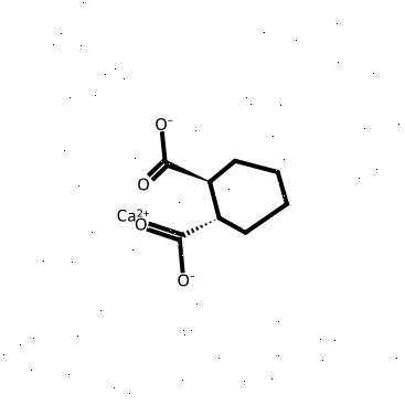 O=C([O-])[C@H]1CCCC[C@@H]1C(=O)[O-].[Ca+2]